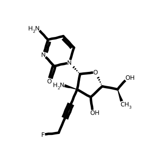 C[C@H](O)[C@H]1O[C@@H](n2ccc(N)nc2=O)[C@@](N)(C#CCF)C1O